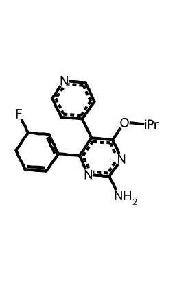 CC(C)Oc1nc(N)nc(C2=CC(F)CC=C2)c1-c1ccncc1